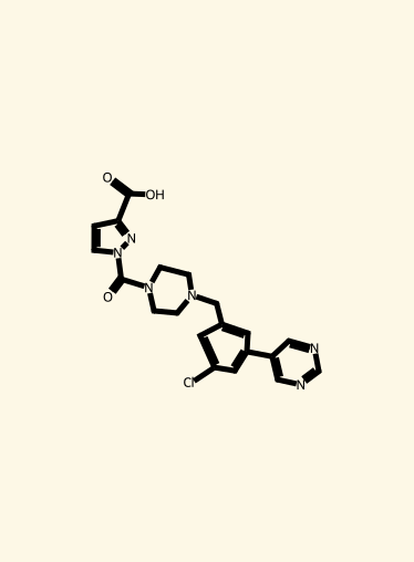 O=C(O)c1ccn(C(=O)N2CCN(Cc3cc(Cl)cc(-c4cncnc4)c3)CC2)n1